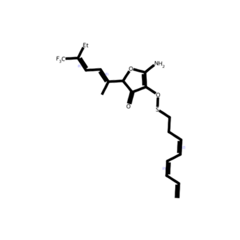 C=C/C=C\C=C/CCSOC1=C(N)OC(/C(C)=C/C=C(\CC)C(F)(F)F)C1=O